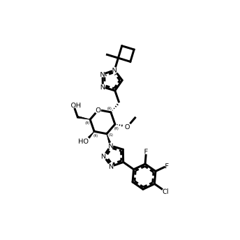 CO[C@@H]1[C@@H](n2cc(-c3ccc(Cl)c(F)c3F)nn2)[C@@H](O)[C@@H](CO)O[C@@H]1Cc1cn(C2(C)CCC2)nn1